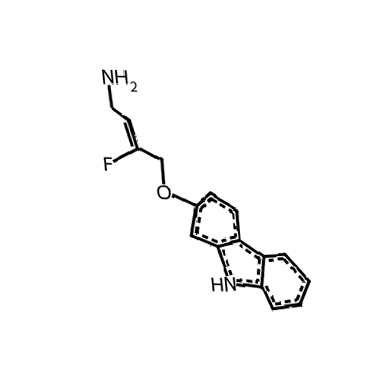 NCC=C(F)COc1ccc2c(c1)[nH]c1ccccc12